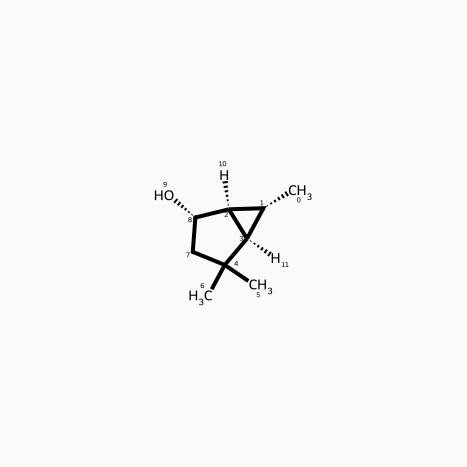 C[C@H]1[C@H]2[C@@H]1C(C)(C)C[C@@H]2O